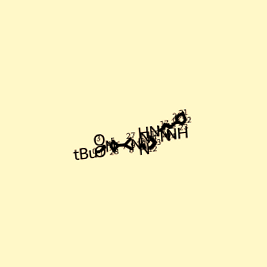 CC(C)(C)OC(=O)N1CC(C2CN(c3nccc(Nc4cc(C5CCCC5)[nH]n4)n3)C2)C1